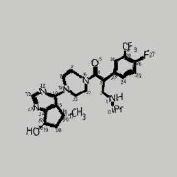 CC(C)NCC(C(=O)N1CCN(c2ncnc3c2[C@H](C)C[C@H]3O)CC1)c1ccc(F)c(C(F)(F)F)c1